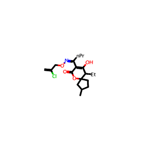 C=C(Cl)CO/N=C(/CCC)C1=C(O)C(CC)C2(CCC(C)C2)OC1=O